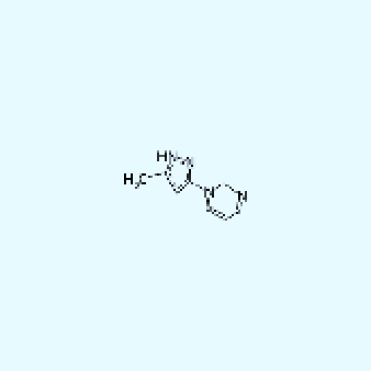 Cc1cc(N2C=CC=NC2)n[nH]1